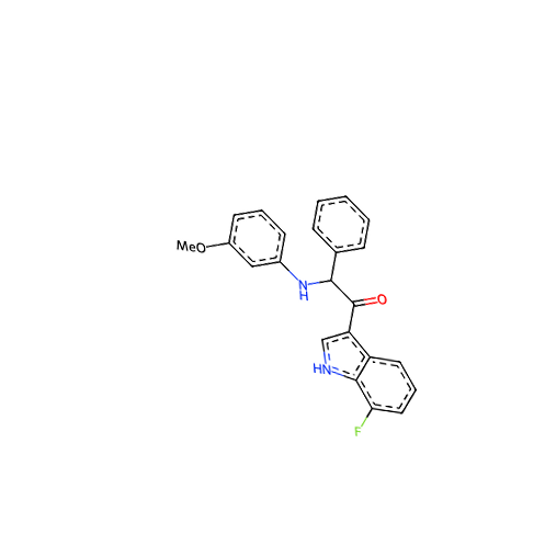 COc1cccc(NC(C(=O)c2c[nH]c3c(F)cccc23)c2ccccc2)c1